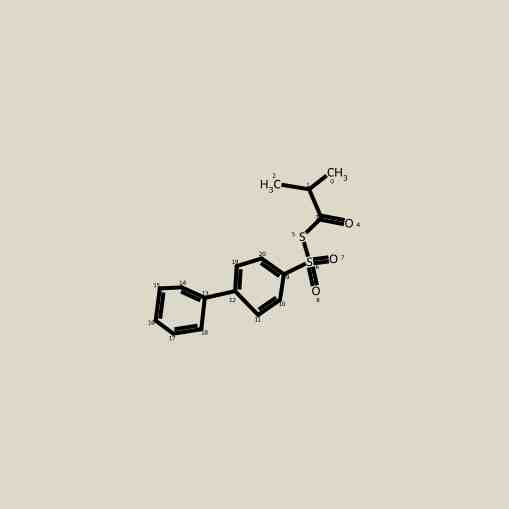 CC(C)C(=O)SS(=O)(=O)c1ccc(-c2ccccc2)cc1